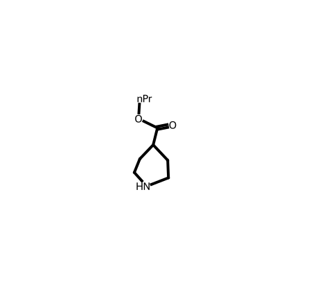 [CH2]CCOC(=O)C1CCNCC1